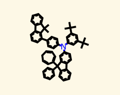 CC(C)(C)c1cc(N(c2ccc(-c3cccc4c3C(C)(C)c3ccccc3-4)cc2)c2ccc3c(c2)C(C2=CC=CCC=C2)(c2ccccc2)c2ccccc2-3)cc(C(C)(C)C)c1